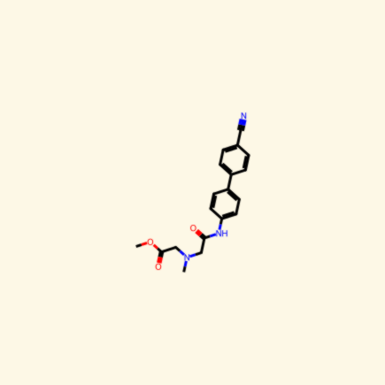 COC(=O)CN(C)CC(=O)Nc1ccc(-c2ccc(C#N)cc2)cc1